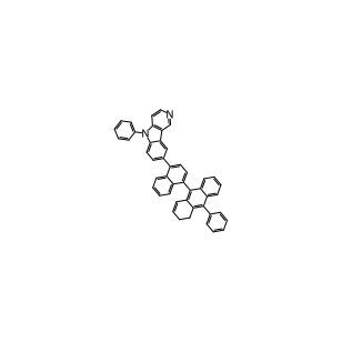 C1=Cc2c(c(-c3ccccc3)c3ccccc3c2-c2ccc(-c3ccc4c(c3)c3cnccc3n4-c3ccccc3)c3ccccc23)CC1